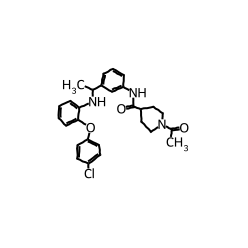 CC(=O)N1CCC(C(=O)Nc2cccc(C(C)Nc3ccccc3Oc3ccc(Cl)cc3)c2)CC1